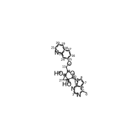 Cc1ncnc2c1ccn2[C@@H]1O[C@H](COc2ccc3cccnc3c2)[C@]2(O)C[C@@]12O